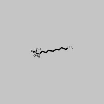 CCCCCCCCCNP(=O)(O)O